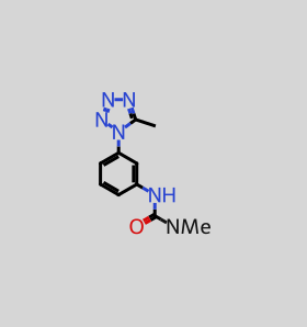 CNC(=O)Nc1cccc(-n2nnnc2C)c1